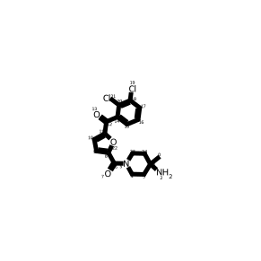 CC1(N)CCN(C(=O)c2ccc(C(=O)c3cccc(Cl)c3Cl)o2)CC1